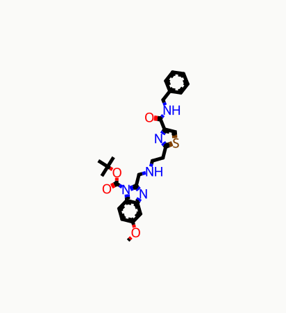 COc1ccc2c(c1)nc(CNCCc1nc(C(=O)NCc3ccccc3)cs1)n2C(=O)OC(C)(C)C